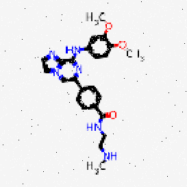 CNCCNC(=O)c1ccc(-c2cn3ccnc3c(Nc3ccc(OC)c(OC)c3)n2)cc1